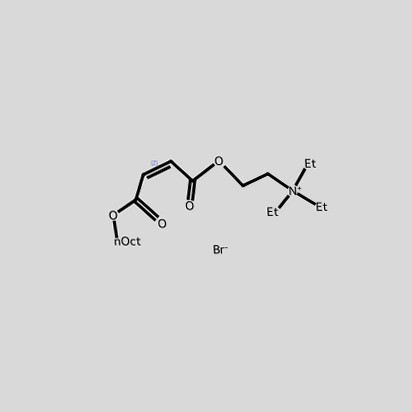 CCCCCCCCOC(=O)/C=C\C(=O)OCC[N+](CC)(CC)CC.[Br-]